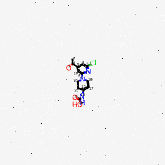 CC(=O)c1cc(Cl)nc(N2CCC(NC(=O)O)CC2)c1